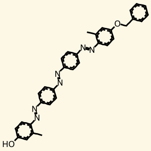 Cc1cc(O)ccc1N=Nc1ccc(/N=N/c2ccc(N=Nc3ccc(OCc4ccccc4)cc3C)cc2)cc1